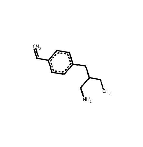 C=Cc1ccc(CC(CC)CN)cc1